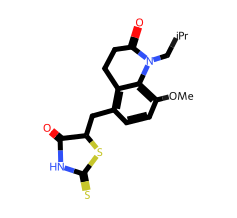 COc1ccc(CC2SC(=S)NC2=O)c2c1N(CC(C)C)C(=O)CC2